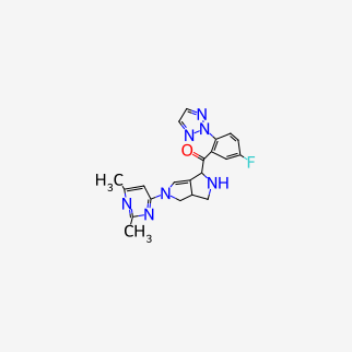 Cc1cc(N2C=C3C(CNC3C(=O)c3cc(F)ccc3-n3nccn3)C2)nc(C)n1